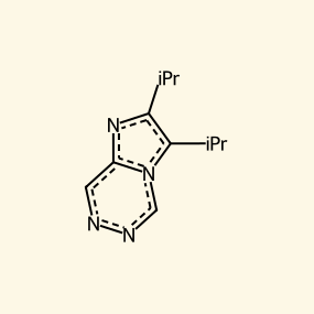 CC(C)c1nc2cnncn2c1C(C)C